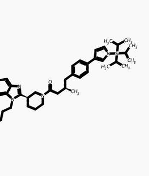 COCCCn1c([C@@H]2CCCN(C(=O)C[C@H](C)Cc3ccc(-c4ccn([Si](C(C)C)(C(C)C)C(C)C)c4)cc3)C2)nc2ccccc21